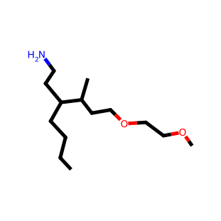 CCCCC(CCN)C(C)CCOCCOC